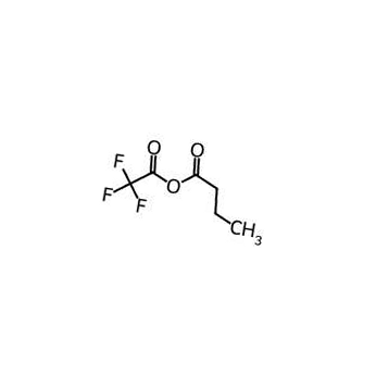 CCCC(=O)OC(=O)C(F)(F)F